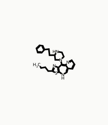 CCCCc1nc2c(s1)NC=c1cccnc1=C2N1CCNC(CCc2ccccc2)C1